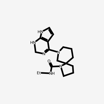 CCNC(=O)N1CCCC12CCCN(C1=NCNc3[nH]ccc31)C2